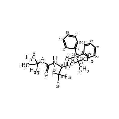 CC(C)(C)OC(=O)NC(CO[Si](c1ccccc1)(c1ccccc1)C(C)(C)C)C(F)(F)F